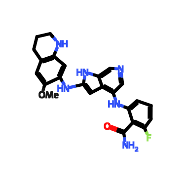 COc1cc2c(cc1Nc1cc3c(Nc4cccc(F)c4C(N)=O)cncc3[nH]1)NCCC2